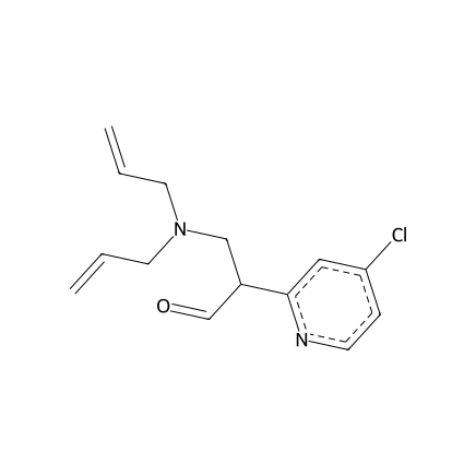 C=CCN(CC=C)CC(C=O)c1cc(Cl)ccn1